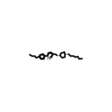 CCCCCCC[C@H]1CC[C@H](CCc2ccc(-c3ccc(CCCC)cc3)nc2)CC1